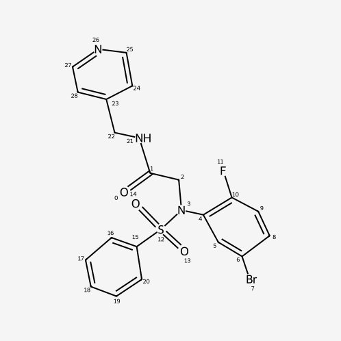 O=C(CN(c1cc(Br)ccc1F)S(=O)(=O)c1ccccc1)NCc1ccncc1